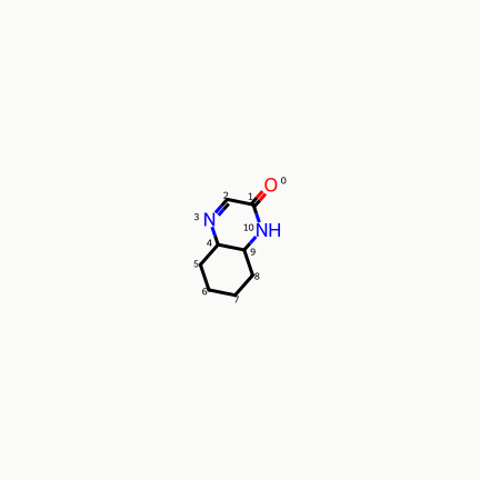 O=C1C=NC2CCCCC2N1